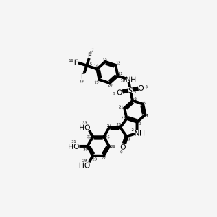 O=C1Nc2ccc(S(=O)(=O)Nc3ccc(C(F)(F)F)cc3)cc2C1=Cc1ccc(O)c(O)c1O